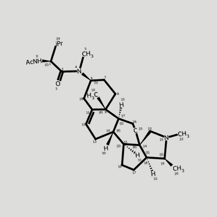 CC(=O)N[C@H](C(=O)N(C)[C@H]1CC[C@@]2(C)C(=CC[C@H]3[C@@H]4CC[C@@H]5[C@H](C)N(C)C[C@@]54CC[C@@H]32)C1)C(C)C